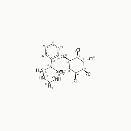 Cl[C@H]1[C@H](Cl)[C@@H](Cl)[C@@H](Cl)[C@H](Cl)[C@H]1Cl.c1ccc(N2[SiH2]N[SiH2]N[SiH2]2)cc1